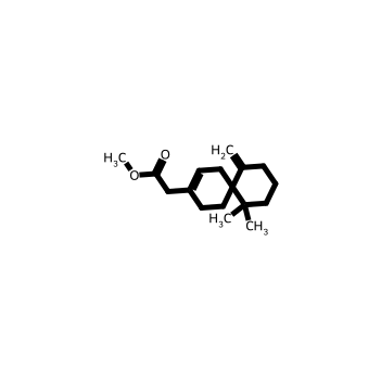 C=C1CCCC(C)(C)C12CC=C(CC(=O)OC)CC2